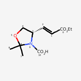 CCOC(=O)C=C[C@H]1COC(C)(C)N1C(=O)O